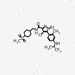 CCn1nc(C(=O)NCC2CCC(S(C)(=O)=O)CC2)c(Cl)c1-c1ccc(N[C@H](C)C(F)(F)F)cc1C